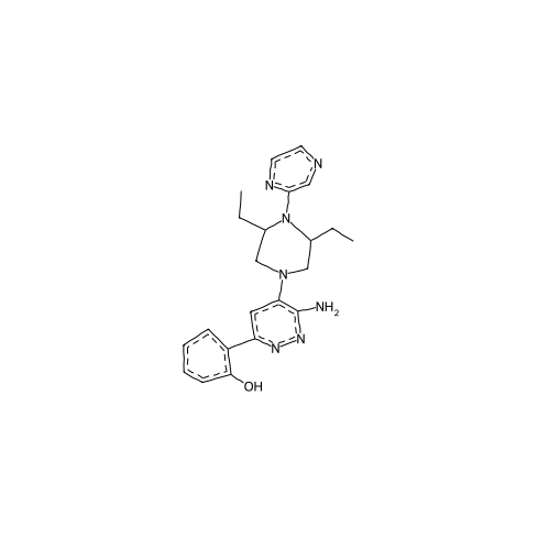 CCC1CN(c2cc(-c3ccccc3O)nnc2N)CC(CC)N1c1cnccn1